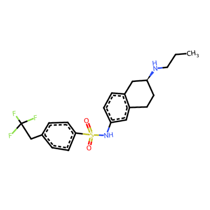 CCCN[C@H]1CCc2cc(NS(=O)(=O)c3ccc(CC(F)(F)F)cc3)ccc2C1